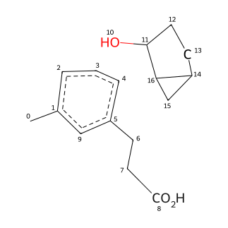 Cc1cccc(CCC(=O)O)c1.OC1CCC2CC12